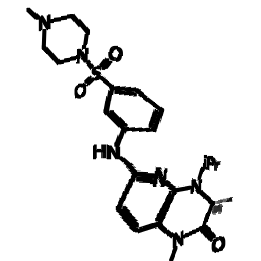 CC(C)N1c2nc(Nc3cccc(S(=O)(=O)N4CCN(C)CC4)c3)ccc2N(C)C(=O)[C@H]1C